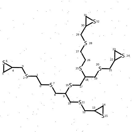 C(CSCC1CS1)SCC(CSCC1CS1)SCC(CSCC1CS1)SCCSCC1CS1